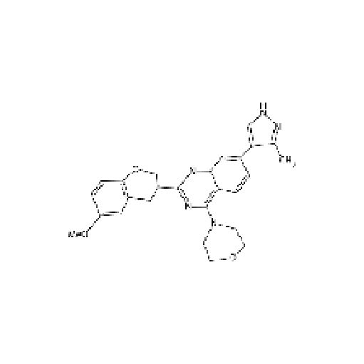 COc1ccc2c(c1)CC(c1nc(N3CCOCC3)c3ccc(-c4c[nH]nc4C)cc3n1)CO2